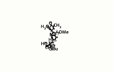 COCCn1c(-c2cc(C)c(=O)n(C)c2)nc2cc(CN[C@H](C(=O)OCC(C)C)[C@@H](C)O)ccc21